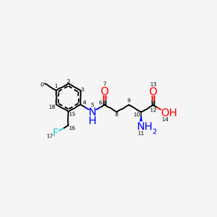 Cc1ccc(NC(=O)CC[C@H](N)C(=O)O)c(CF)c1